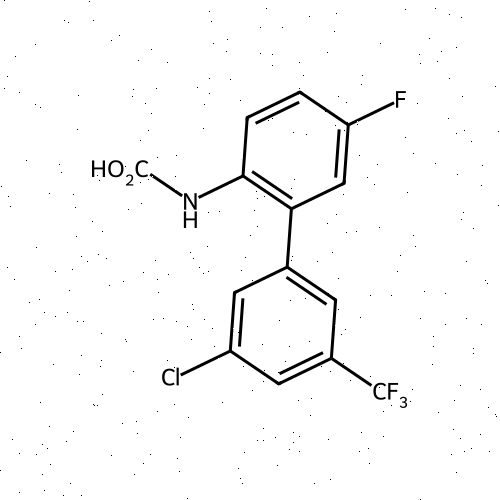 O=C(O)Nc1ccc(F)cc1-c1cc(Cl)cc(C(F)(F)F)c1